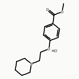 COC(=O)c1ccc(OCCN2CCCCC2)cc1.Cl